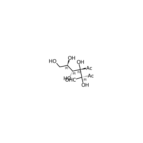 CC(=O)[C@](O)(C=O)[C@](O)(C(C)=O)[C@H](O)[C@H](O)CO